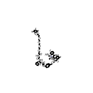 CN/C(=N\C=N)[C@H]1c2nn(COCc3ccc(NC(=O)CNC(=O)[C@H](Cc4ccccc4)NC(=O)CNC(=O)CCOCCOCCOCCOCCC(=O)Oc4c(F)c(F)cc(F)c4F)cc3)c(=O)c3cc(F)cc(c23)N[C@@H]1c1ccc(F)cc1